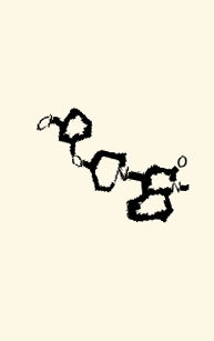 Cn1c(=O)cc(N2CCC(Oc3cccc(Cl)c3)CC2)c2ccccc21